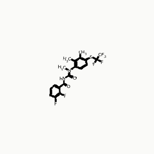 Cc1c(SC(F)(F)C(F)(F)F)ccc(N(C)C(=O)NC(=O)c2cccc(F)c2F)c1C